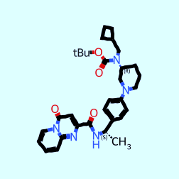 C[C@H](NC(=O)c1cc(=O)n2ccccc2n1)c1ccc(N2CCC[C@@H](N(CC3CCC3)C(=O)OC(C)(C)C)C2)cc1